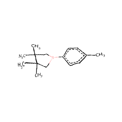 Cc1ccc(B2CC(C)(C)C(C)(C)C2)cc1